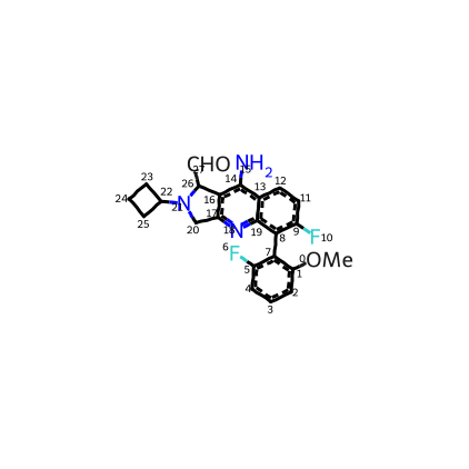 COc1cccc(F)c1-c1c(F)ccc2c(N)c3c(nc12)CN(C1CCC1)C3C=O